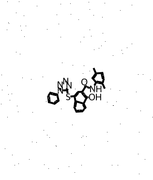 Cc1ccc(C)c(NC(=O)c2cc(Sc3nnnn3-c3ccccc3)c3ccccc3c2O)c1